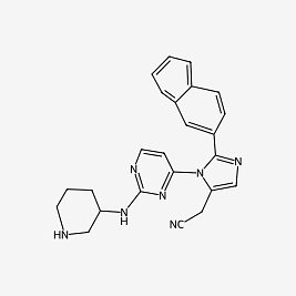 N#CCc1cnc(-c2ccc3ccccc3c2)n1-c1ccnc(NC2CCCNC2)n1